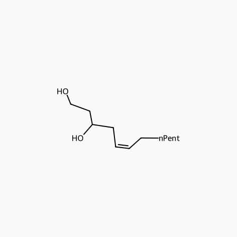 CCCCCC/C=C\CC(O)CCO